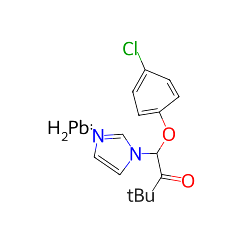 CC(C)(C)C(=O)C(Oc1ccc(Cl)cc1)n1ccnc1.[PbH2]